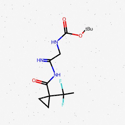 CC(C)(C)OC(=O)NCC(=N)NC(=O)C1(C(C)(F)F)CC1